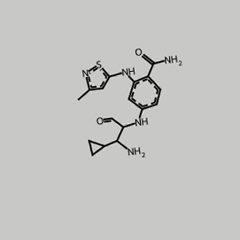 Cc1cc(Nc2cc(NC(C=O)C(N)C3CC3)ccc2C(N)=O)sn1